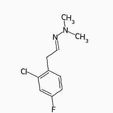 CN(C)/N=C/Cc1ccc(F)cc1Cl